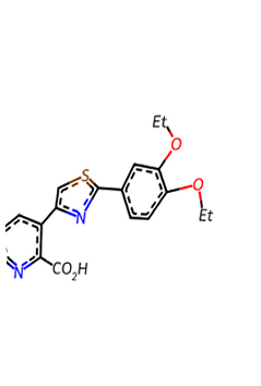 CCOc1ccc(-c2nc(-c3cccnc3C(=O)O)cs2)cc1OCC